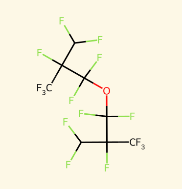 FC(F)C(F)(C(F)(F)F)C(F)(F)OC(F)(F)C(F)(C(F)F)C(F)(F)F